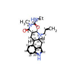 C=CCN1C[C@H](C(=O)N(C)C(=O)NCC)C[C@@H]2c3cccc4[nH]cc(c34)C[C@H]21